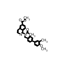 COC(=O)c1ccc2c(N(Cc3ccc(-c4ccc(OC)c(C)c4)cc3)C(C)=O)nccc2c1